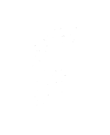 CC/C(=C(\c1ccc(Cl)cc1)c1ccc(OCCN2CCN(CC3CCN(C(=O)O)CC3)CC2)cc1)c1ccccc1